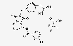 N=C(N)Cc1ccc(CN2C(=O)c3cccc(NC(=O)c4ccc(Cl)s4)c3C2=O)cc1.O=C(O)C(F)(F)F